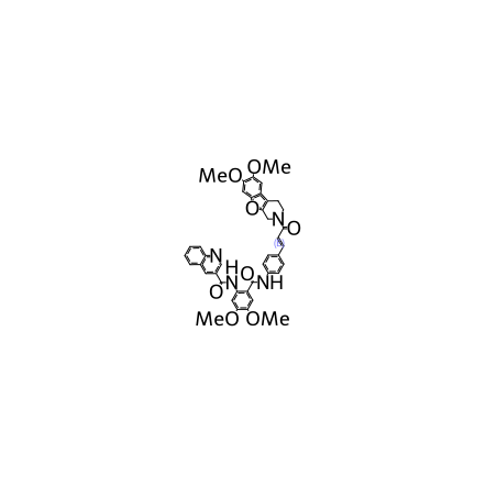 COc1cc(NC(=O)c2cnc3ccccc3c2)c(C(=O)Nc2ccc(/C=C/C(=O)N3CCc4c(oc5cc(OC)c(OC)cc45)C3)cc2)cc1OC